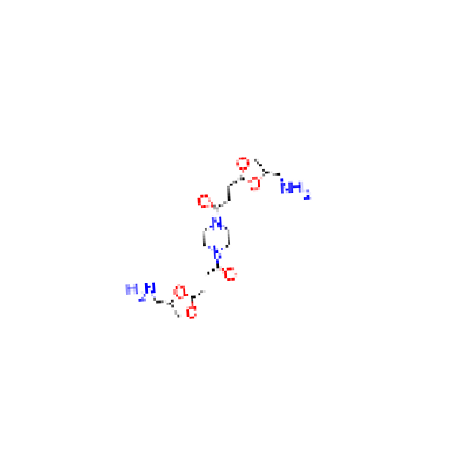 NCC1COC(CCC(=O)N2CCN(C(=O)CCC3OCC(CN)O3)CC2)O1